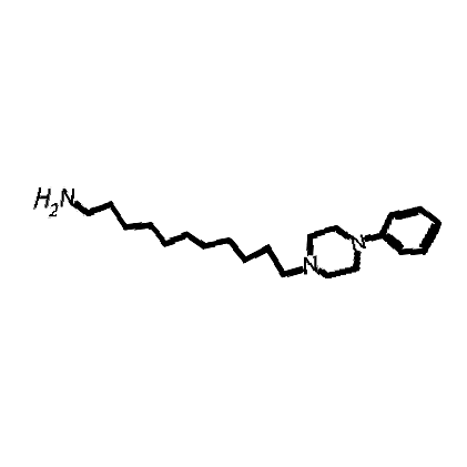 NCCCCCCCCCCCN1CCN(c2ccccc2)CC1